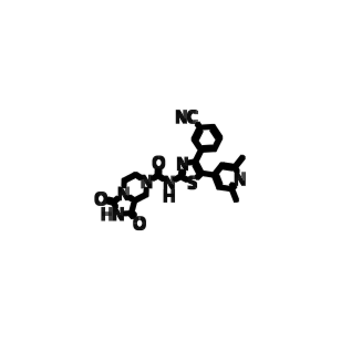 Cc1cc(-c2sc(NC(=O)N3CCN4C(=O)NC(=O)C4C3)nc2-c2cccc(C#N)c2)cc(C)n1